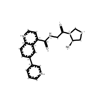 N#C[C@@H]1CSCN1C(=O)CNC(=O)c1ccnc2ccc(-c3cccnc3)cc12